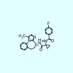 Cc1cnc2n1-c1ccccc1CC[C@H]2NC(=O)C1(NC(=O)c2ccc(F)cc2)CC1